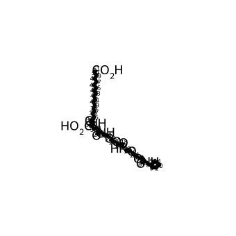 Cc1ccc(CNC(=O)COCCOCCNC(=O)COCCOCCNC(=O)CC[C@H](NC(=O)CCCCCCCCCCCCCCCCC(=O)O)C(=O)O)cc1